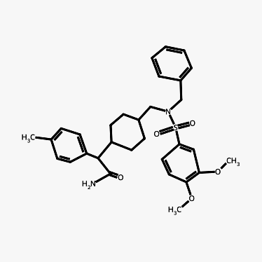 COc1ccc(S(=O)(=O)N(Cc2ccccc2)CC2CCC(C(C(N)=O)c3ccc(C)cc3)CC2)cc1OC